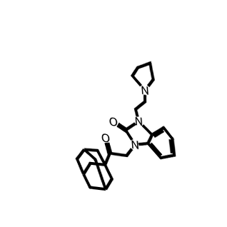 O=C(Cn1c(=O)n(CCN2CCCC2)c2ccccc21)C12CC3CC(CC(C3)C1)C2